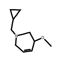 COC1C=CCN(CC2CC2)C1